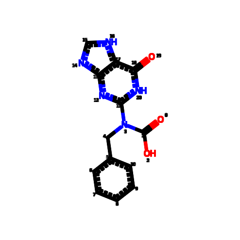 O=C(O)N(Cc1ccccc1)c1nc2nc[nH]c2c(=O)[nH]1